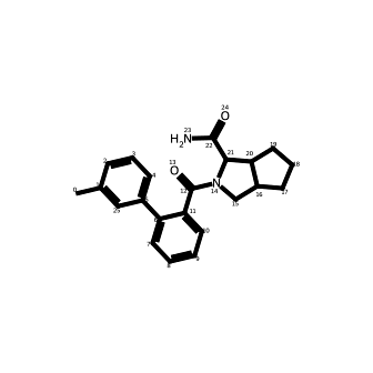 Cc1cccc(-c2ccccc2C(=O)N2CC3CCCC3C2C(N)=O)c1